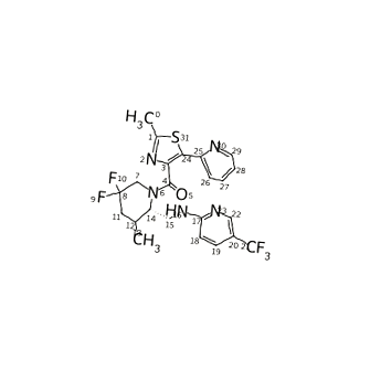 Cc1nc(C(=O)N2CC(F)(F)CC(C)[C@H]2CNc2ccc(C(F)(F)F)cn2)c(-c2ccccn2)s1